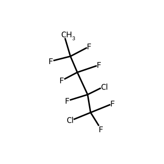 CC(F)(F)C(F)(F)C(F)(Cl)C(F)(F)Cl